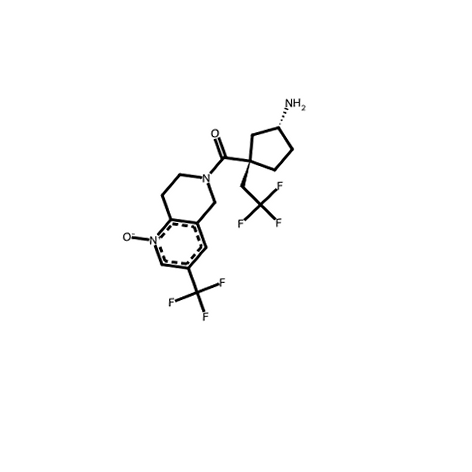 N[C@@H]1CC[C@](CC(F)(F)F)(C(=O)N2CCc3c(cc(C(F)(F)F)c[n+]3[O-])C2)C1